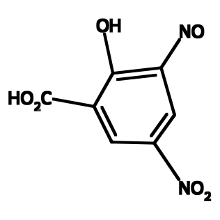 O=Nc1cc([N+](=O)[O-])cc(C(=O)O)c1O